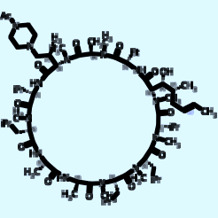 C/C=C/C[C@@H](C)[C@@H](O)[C@H]1C(=O)N[C@@H](CC)C(=O)N(C)[C@H](C)C(=O)N(C)[C@@H]([C@H](C)CN2CCN(C(C)=O)CC2)C(=O)N[C@@H](C(C)C)C(=O)N(C)[C@@H](CC(C)C)C(=O)N[C@@H](C)C(=O)N[C@H](C)C(=O)N(C)[C@@H](CC(C)C)C(=O)N(C)[C@@H](CC(C)C)C(=O)N(C)[C@@H](C(C)C)C(=O)N1C